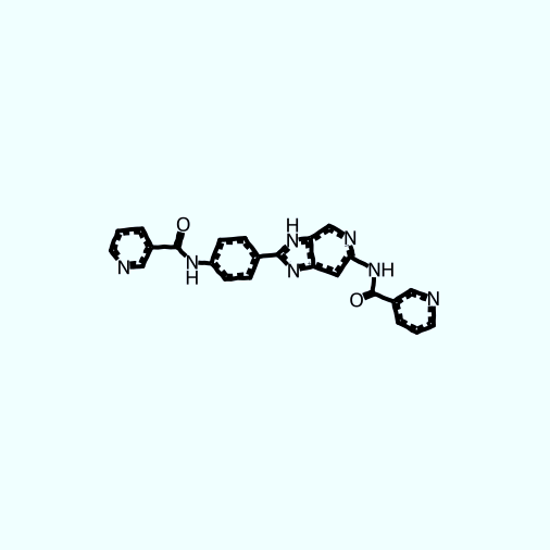 O=C(Nc1ccc(-c2nc3cc(NC(=O)c4cccnc4)ncc3[nH]2)cc1)c1cccnc1